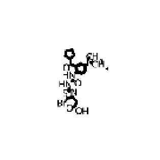 CN(C)c1ccc(NC(=O)Nc2nc(CC(=O)O)c(Br)s2)c(C(=O)C2CCCC2)c1